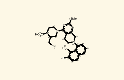 CSc1nc2c(c(N3CCN(C(=O)O)C(CC#N)C3)n1)CCN(c1cccc3ccc(F)c(C)c13)C2